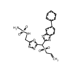 C=CCS(=O)(=O)C(c1nnc(CNS(N)(=O)=O)o1)c1nc2ccc(-c3ccccc3)cc2s1